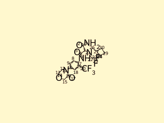 NC(=O)[C@@H](C(=O)Nc1ccc(N2CCOCC2=O)cc1C(F)(F)F)N(CC(F)F)CC1CCC1